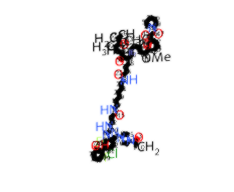 C=CC(=O)N1CCN(c2nc(NCCC(=O)NCCCCCCNC(=O)CCC[C@H](/C=C(\C)C[C@H](C)C[C@H](OC)[C@@H]3CCCC(C(=O)C(=O)N4CCCCC4)O3)C(=O)CC[C@@H](C)[C@H](OC=O)C(=C)C)nc3c(F)c(-c4c(O)cccc4F)c(Cl)cc23)CC1